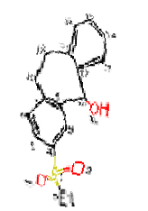 CCS(=O)(=O)c1ccc2c(c1)C(O)c1ccccc1CC2